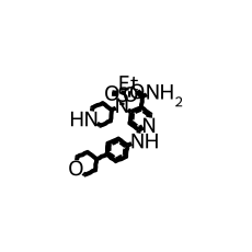 CCS(=O)(=O)N(c1cc(Nc2ccc(C3CCOCC3)cc2)ncc1C(N)=O)C1CCNCC1